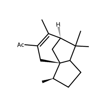 CC(=O)C1=C(C)[C@@H]2C[C@]3(C1)C(CC[C@H]3C)C2(C)C